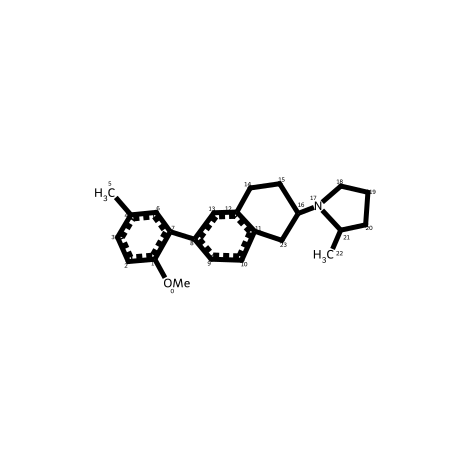 COc1ccc(C)cc1-c1ccc2c(c1)CCC(N1CCCC1C)C2